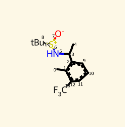 Cc1c(C(C)N[S@@+]([O-])C(C)(C)C)cccc1C(F)(F)F